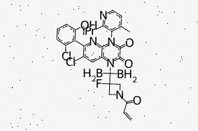 BC(B)(n1c(=O)c(=O)n(-c2c(C)ccnc2C(C)C)c2nc(-c3c(O)cccc3Cl)c(Cl)cc21)C1(F)CN(C(=O)C=C)C1